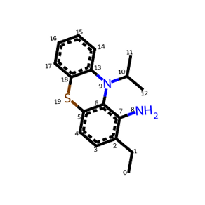 CCc1ccc2c(c1N)N(C(C)C)c1ccccc1S2